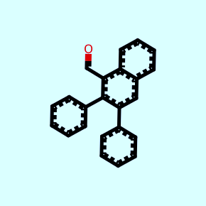 O=Cc1c(-c2ccccc2)c(-c2ccccc2)cc2ccccc12